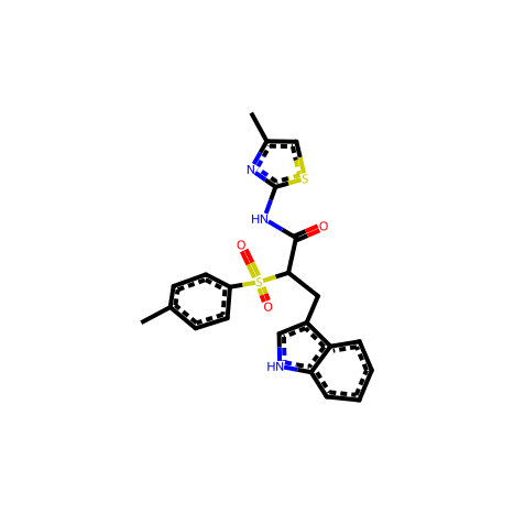 Cc1ccc(S(=O)(=O)C(Cc2c[nH]c3ccccc23)C(=O)Nc2nc(C)cs2)cc1